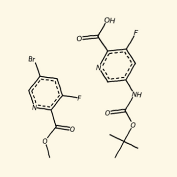 CC(C)(C)OC(=O)Nc1cnc(C(=O)O)c(F)c1.COC(=O)c1ncc(Br)cc1F